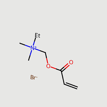 C=CC(=O)OC[N+](C)(C)CC.[Br-]